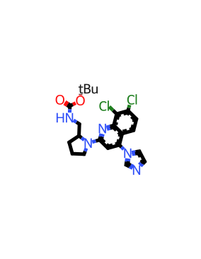 CC(C)(C)OC(=O)NCC1CCCN1c1cc(-n2ccnc2)c2ccc(Cl)c(Cl)c2n1